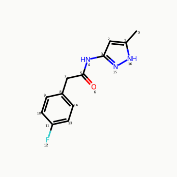 Cc1cc(NC(=O)Cc2ccc(F)cc2)n[nH]1